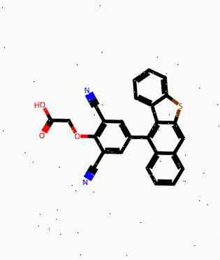 N#Cc1cc(-c2c3ccccc3cc3sc4ccccc4c23)cc(C#N)c1OCC(=O)O